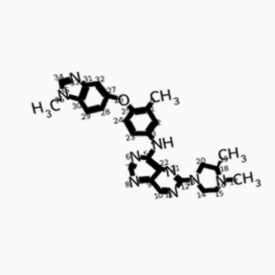 Cc1cc(Nc2ncnc3cnc(N4CCN(C)[C@H](C)C4)nc23)ccc1Oc1ccc2c(c1)ncn2C